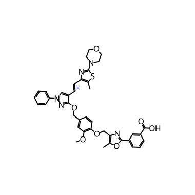 COc1cc(COc2nn(-c3ccccc3)cc2/C=C/c2nc(N3CCOCC3)sc2C)ccc1OCc1nc(-c2cccc(C(=O)O)c2)oc1C